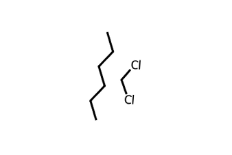 CCCCCC.ClCCl